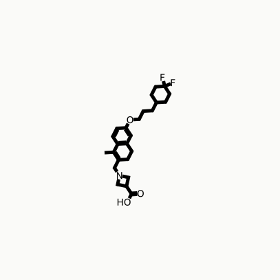 CC1=C(CN2CC(C(=O)O)C2)CCc2cc(OCCCC3CCC(F)(F)CC3)ccc21